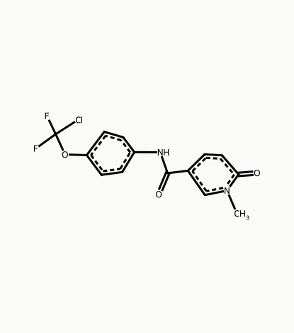 Cn1cc(C(=O)Nc2ccc(OC(F)(F)Cl)cc2)ccc1=O